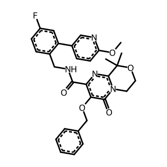 COc1ccc(-c2cc(F)ccc2CNC(=O)c2nc3n(c(=O)c2OCc2ccccc2)CCOC3(C)C)cn1